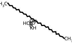 CCCCCCCCCCCCCCCCCC(CCCCCCCCCCCCCCCC)OP(=O)(O)O.[KH]